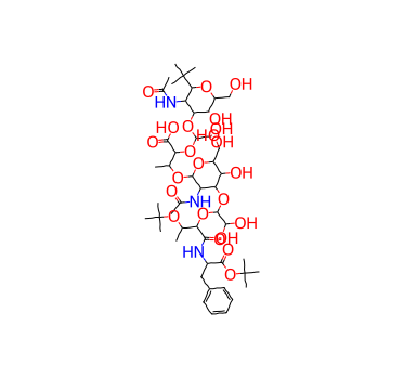 CC(=O)NC1C(OC(C)C(OC(OC2C(O)C(CO)OC(C(C)(C)C)C2NC(C)=O)C(O)O)C(=O)O)OC(CO)C(O)C1OC(OC(C(=O)NC(Cc1ccccc1)C(=O)OC(C)(C)C)C(C)OC(C)(C)C)C(O)O